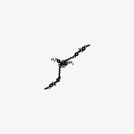 CCCCOc1ccc(OC(=O)C=Cc2ccc(OCCCCCCCCCCCC(CCCCCCCCCCCOc3ccc(C=CC(=O)Oc4ccc(OCCCC)cc4)cc3)(c3ccc(N)cc3)C(Cc3ccc(N)cc3)(C(=O)O)C(=O)O)cc2)cc1